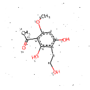 COc1cc(O)c(CCO)c(O)c1C(C)=O